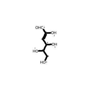 O=CC(O)=CC(O)C(O)CO